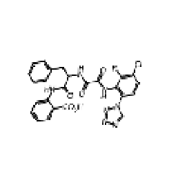 O=C(Nc1c(-n2cnnn2)ccc(Cl)c1F)C(=O)NC(Cc1ccccc1)C(=O)Nc1ccccc1C(=O)O